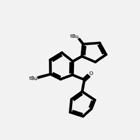 CC(C)(C)C1=C(c2ccc(C(C)(C)C)cc2C(=O)c2ccccc2)CC=C1